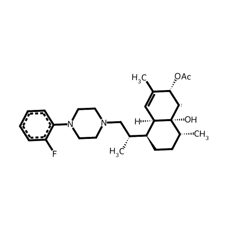 CC(=O)O[C@@H]1[C][C@@]2(O)[C@H](C)CC[C@@H]([C@H](C)CN3CCN(c4ccccc4F)CC3)[C@H]2C=C1C